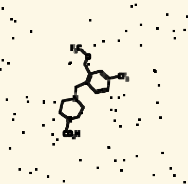 O=C(O)N1CCN(Cc2ccc(C(F)(F)F)cc2COC(F)(F)F)CC1